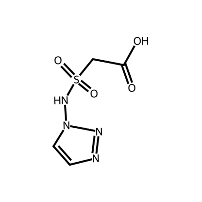 O=C(O)CS(=O)(=O)Nn1ccnn1